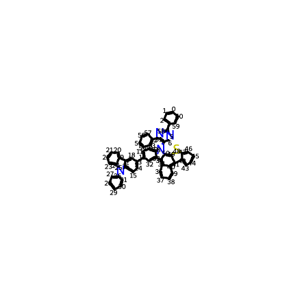 c1ccc(-c2ncc(-n3c4ccc(-c5ccc6c(c5)c5ccccc5n6-c5ccccc5)cc4c4c5ccccc5c5c6ccccc6sc5c43)c(-c3ccccc3)n2)cc1